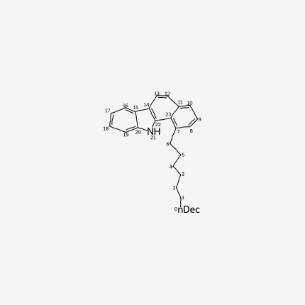 CCCCCCCCCCCCCCCCc1cccc2ccc3c4ccccc4[nH]c3c12